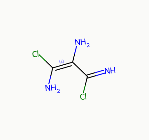 N=C(Cl)/C(N)=C(\N)Cl